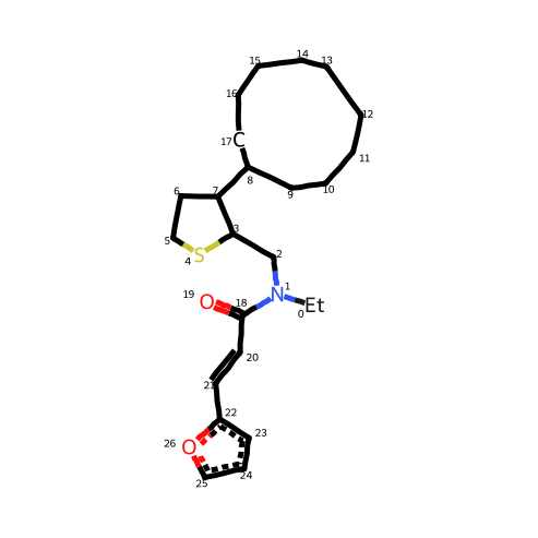 CCN(CC1SCCC1C1CCCCCCCCC1)C(=O)/C=C/c1ccco1